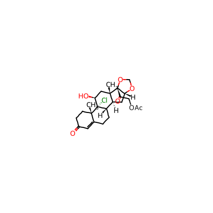 CC(=O)OCC(=O)[C@@]12OCO[C@@H]1C[C@H]1[C@@H]3CCC4=CC(=O)CC[C@]4(C)[C@@]3(Cl)[C@@H](O)C[C@@]12C